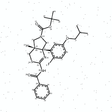 CC(C)COc1ccc(F)c([C@]23CN(C(=O)OC(C)(C)C)C[C@H]2CSC(NC(=O)c2ccccc2)=N3)c1